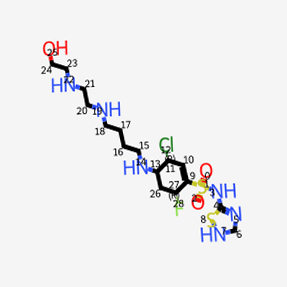 O=S(=O)(NC1=NCNS1)C1=C[C@@H](Cl)C(NCCCCNCCNCCO)C[C@H]1F